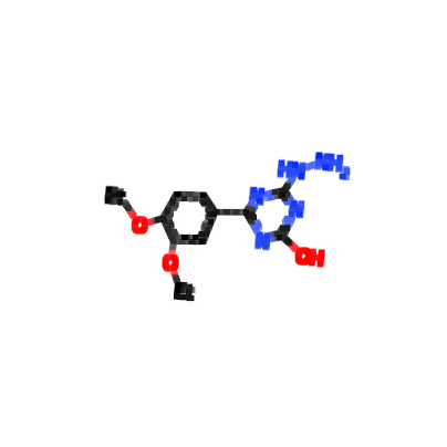 CCOc1ccc(-c2nc(O)nc(NN)n2)cc1OCC